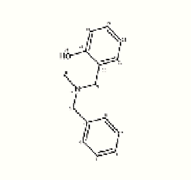 CN(Cc1ccccc1)Cc1cc[c]cc1O